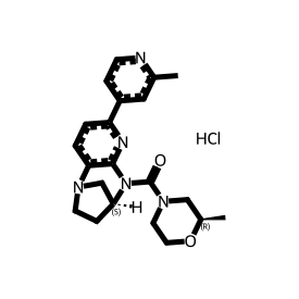 Cc1cc(-c2ccc3c(n2)N(C(=O)N2CCO[C@H](C)C2)[C@H]2CCN3C2)ccn1.Cl